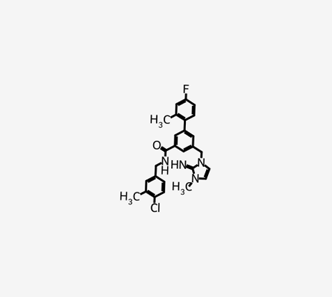 Cc1cc(CNC(=O)c2cc(Cn3ccn(C)c3=N)cc(-c3ccc(F)cc3C)c2)ccc1Cl